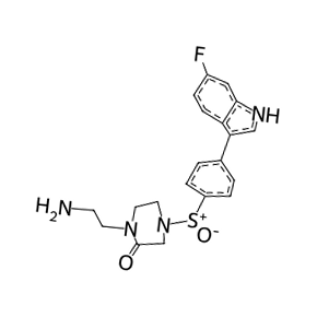 NCCN1CCN([S+]([O-])c2ccc(-c3c[nH]c4cc(F)ccc34)cc2)CC1=O